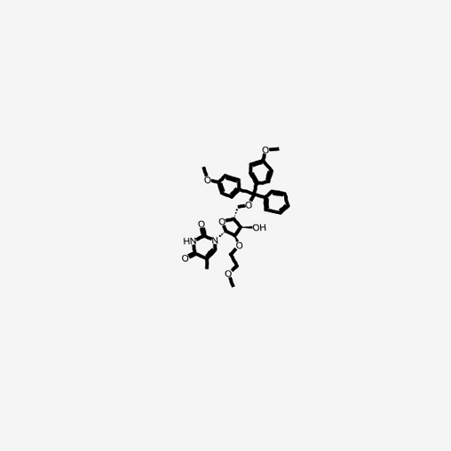 COCCO[C@@H]1[C@H](O)[C@@H](COC(c2ccccc2)(c2ccc(OC)cc2)c2ccc(OC)cc2)O[C@H]1n1cc(C)c(=O)[nH]c1=O